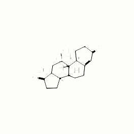 CC[C@]12C[C@@H](O)[C@H]3[C@@H](CCC4=CC(=O)CC[C@@H]43)[C@@H]1CCC2=O